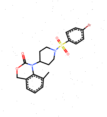 Cc1cccc2c1N(C1CCN(S(=O)(=O)c3ccc(Br)cc3)CC1)C(=O)OC2